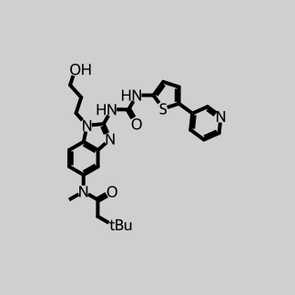 CN(C(=O)CC(C)(C)C)c1ccc2c(c1)nc(NC(=O)Nc1ccc(-c3cccnc3)s1)n2CCCO